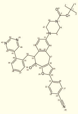 CC(C)(C)OC(=O)N1CCN(c2ccc3c(c2)Cc2cc(-c4ccc(C#N)cc4)oc2C(=O)C3Cc2ccccc2-c2cncnc2)CC1